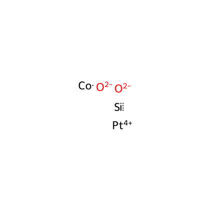 [Co].[O-2].[O-2].[Pt+4].[Si]